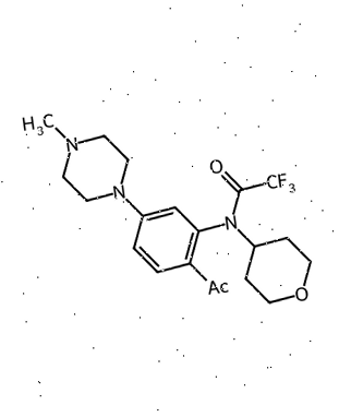 CC(=O)c1ccc(N2CCN(C)CC2)cc1N(C(=O)C(F)(F)F)C1CCOCC1